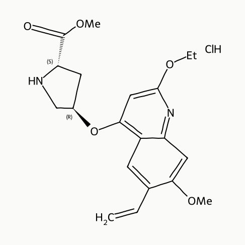 C=Cc1cc2c(O[C@H]3CN[C@H](C(=O)OC)C3)cc(OCC)nc2cc1OC.Cl